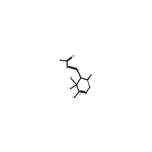 CC(=O)/C=C/C1C(C)CC=C(C)C1(C)C